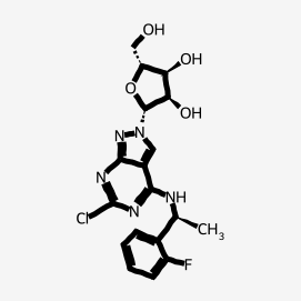 C[C@H](Nc1nc(Cl)nc2nn([C@@H]3O[C@H](CO)[C@@H](O)[C@H]3O)cc12)c1ccccc1F